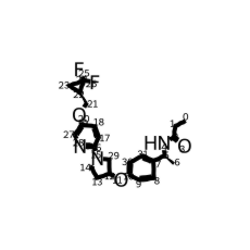 CCC(=O)N[C@@H](C)c1ccc(OC2CCN(c3ccc(OC[C@H]4CC4(F)F)cn3)C2)cc1